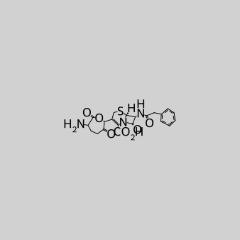 NC1CCC(=O)C(C2=C(C(=O)O)N3C(=O)[C@@H](NC(=O)Cc4ccccc4)[C@H]3SC2)OC1=O